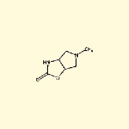 CN1CC2NC(=O)OC2C1